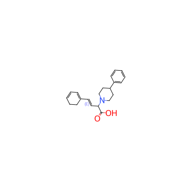 O=C(O)C(/C=C/C1=CC=CCC1)N1CCC(c2ccccc2)CC1